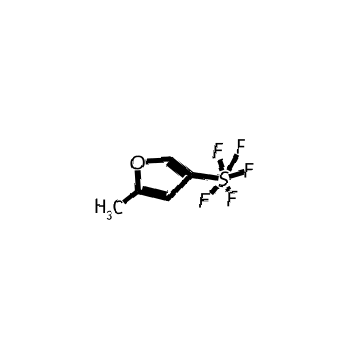 Cc1cc(S(F)(F)(F)(F)F)co1